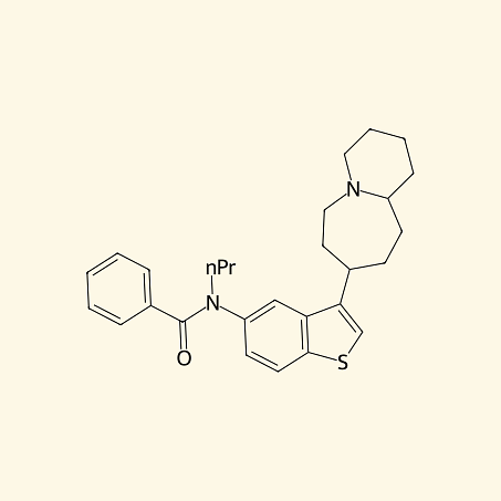 CCCN(C(=O)c1ccccc1)c1ccc2scc(C3CCC4CCCCN4CC3)c2c1